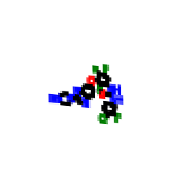 O=C(Nc1ccc(Cl)c(F)c1)Nc1cc(F)c(F)c(Oc2ccc3ncc(N4CCNCC4)nc3c2)c1F